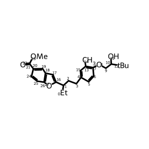 CCC(CCc1ccc(OCC(O)C(C)(C)C)c(C)c1)c1cc2cc(C(=O)OC)ccc2o1